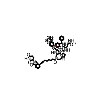 NC(=O)CCC(NC(=O)[C@@H]1CC[C@@H]2CCN(C(=O)CCCCCC#Cc3cccc4c3CN(C3CCC(=O)NC3=O)C4=O)C[C@H](NC(=O)c3nc4cc(C(F)(F)P(=O)(O)O)ccc4s3)C(=O)N21)C(=O)NC(c1ccccc1)c1ccccc1